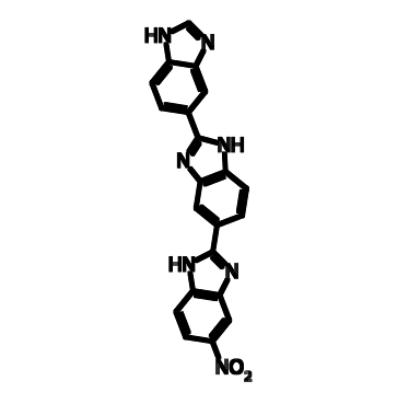 O=[N+]([O-])c1ccc2[nH]c(-c3ccc4[nH]c(-c5ccc6[nH]cnc6c5)nc4c3)nc2c1